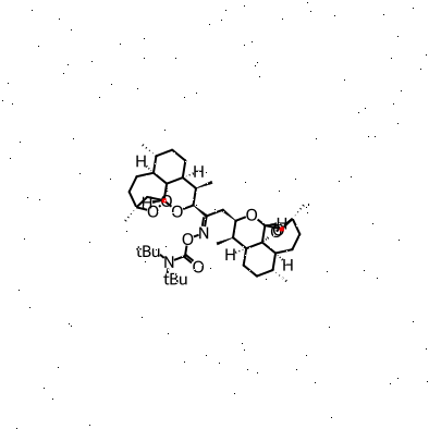 C[C@H]1[C@@H](/C(C[C@H]2O[C@@H]3C[C@]4(C)CC[C@H]5[C@H](C)CC[C@@H]([C@H]2C)[C@@]35OO4)=N\OC(=O)N(C(C)(C)C)C(C)(C)C)O[C@@H]2C[C@]3(C)CC[C@H]4[C@H](C)CC[C@@H]1[C@@]24OO3